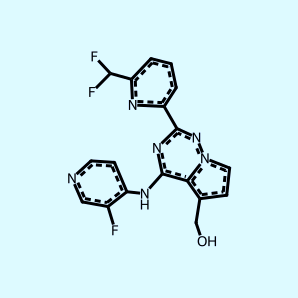 OCc1ccn2nc(-c3cccc(C(F)F)n3)nc(Nc3ccncc3F)c12